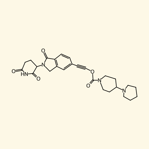 O=C1CCC(N2Cc3cc(C#COC(=O)N4CCC(N5CCCCC5)CC4)ccc3C2=O)C(=O)N1